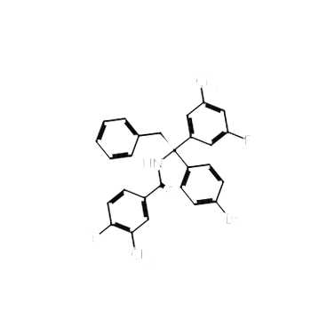 O=C(N[C@@](Cc1ccccc1)(c1ccc(Br)cc1)c1cc(F)cc(C(F)(F)F)c1)c1ccc(F)c(C(F)(F)F)c1